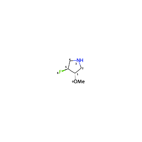 CO[C@H]1CNC[C@@H]1F